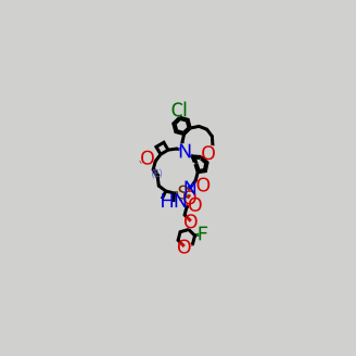 COC1/C=C/CC(C)C(C)S(=O)(NC(=O)COC2CCOCC2F)=NC(=O)c2ccc3c(c2)N(Cc2ccc(Cl)cc2CCCCO3)CC2CCC21